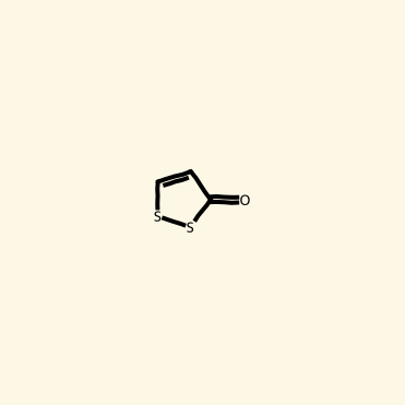 O=c1ccss1